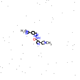 CN1CC=C(c2cc(C(=O)Nc3ncc4ccc(-c5cnn(C)c5)cc4n3)ccn2)CC1